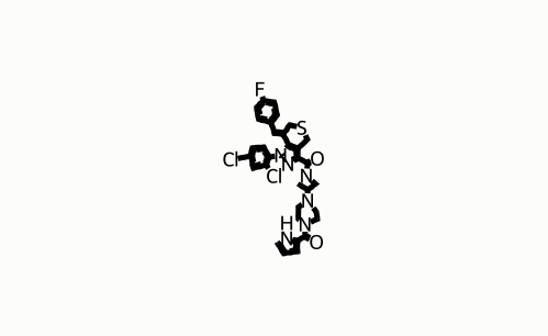 O=C(c1ccc[nH]1)N1CCN(C2CN(C(=O)c3nn(-c4ccc(Cl)cc4Cl)c4c3CSCC4=Cc3ccc(F)cc3)C2)CC1